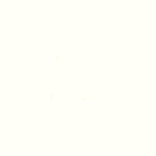 CCC(c1ccccc1)c1ccc(F)cc1